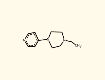 [CH2]CN1CCN(c2ccncc2)CC1